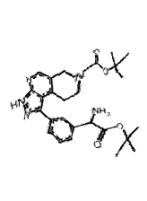 CC(C)(C)OC(=O)C(N)c1cccc(-c2n[nH]c3ncc4c(c23)CCN(C(=O)OC(C)(C)C)C4)c1